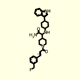 NC(=O)C(NC1CCC(c2c[nH]c3ccccc23)CC1)C1CCN(C(=O)/C=C/c2cccc(CF)c2)CC1